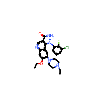 CCOc1cc2ncc(C(N)=O)c(Nc3cccc(Cl)c3F)c2cc1N1CCN(CC)CC1